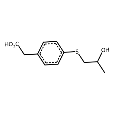 CC(O)CSc1ccc(CC(=O)O)cc1